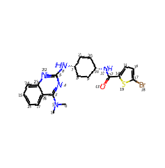 CN(C)c1nc(N[C@H]2CC[C@@H](NC(=O)c3ccc(Br)s3)CC2)nc2ccccc12